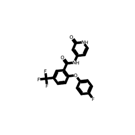 O=C(Nc1cc[nH]c(=O)c1)c1cc(C(F)(F)F)ccc1Oc1ccc(F)cc1